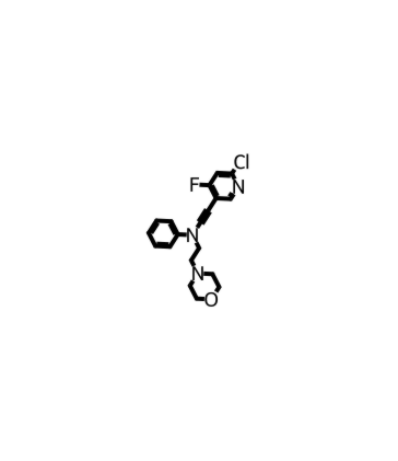 Fc1cc(Cl)ncc1C#CN(CCN1CCOCC1)c1ccccc1